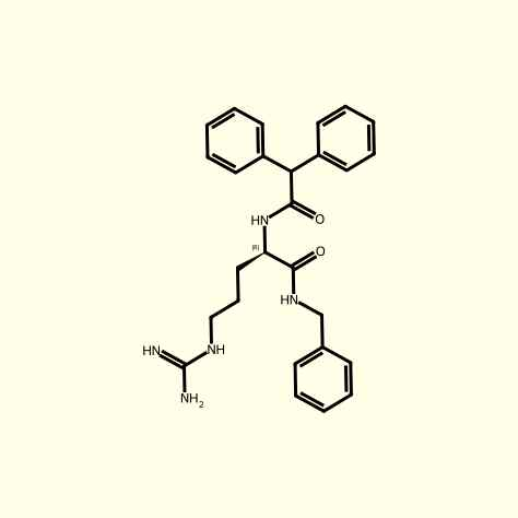 N=C(N)NCCC[C@@H](NC(=O)C(c1ccccc1)c1ccccc1)C(=O)NCc1ccccc1